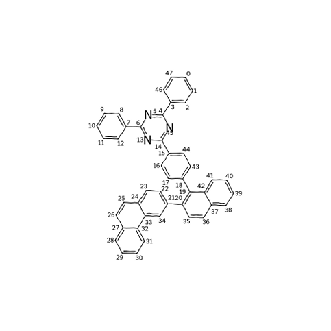 c1ccc(-c2nc(-c3ccccc3)nc(-c3ccc(-c4c(-c5ccc6ccc7ccccc7c6c5)ccc5ccccc45)cc3)n2)cc1